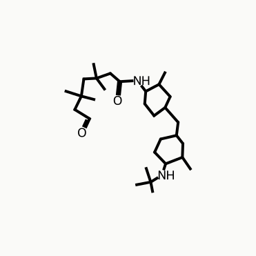 CC1CC(CC2CCC(NC(C)(C)C)C(C)C2)CCC1NC(=O)CC(C)(C)CC(C)(C)CC=O